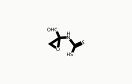 O=CC1(NC(=S)S)CO1